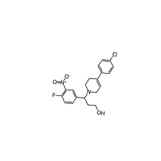 O=[N+]([O-])c1cc(C(CCO)N2CC=C(c3ccc(Cl)cc3)CC2)ccc1F